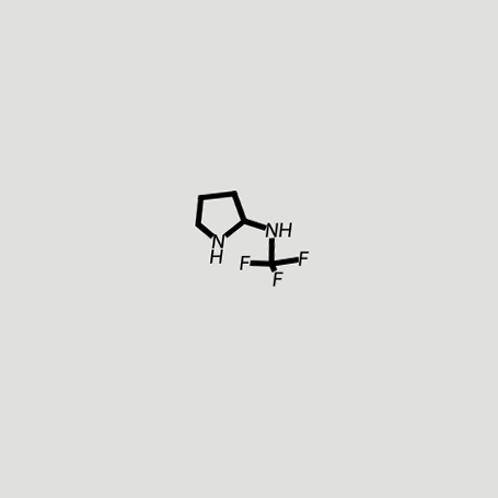 FC(F)(F)NC1CCCN1